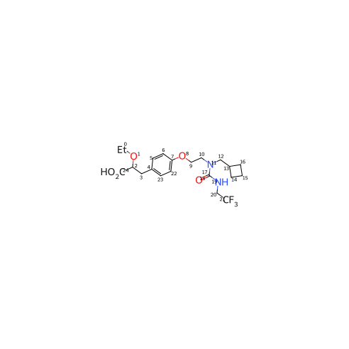 CCOC(Cc1ccc(OCCN(CC2CCC2)C(=O)NCC(F)(F)F)cc1)C(=O)O